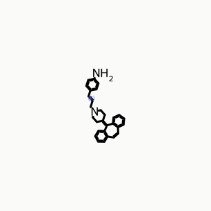 Nc1ccc(/C=C/CN2CCC(=C3c4ccccc4C=Cc4ccccc43)CC2)cc1